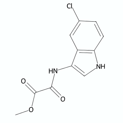 COC(=O)C(=O)Nc1c[nH]c2ccc(Cl)cc12